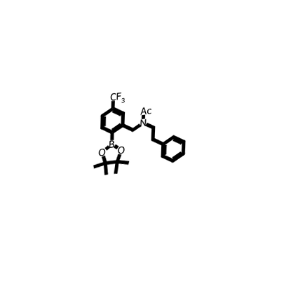 CC(=O)N(CCc1ccccc1)Cc1cc(C(F)(F)F)ccc1B1OC(C)(C)C(C)(C)O1